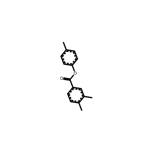 Cc1ccc(OC(=O)c2ccc(C)c(C)c2)cc1